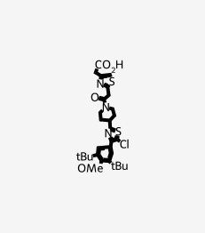 COc1c(C(C)(C)C)cc(-c2nc(C3CCN(C(=O)Cc4nc(CC(=O)O)cs4)CC3)sc2Cl)cc1C(C)(C)C